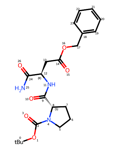 CC(C)(C)OC(=O)N1CCC[C@H]1C(=O)N[C@H](CC(=O)OCc1ccccc1)C(N)=O